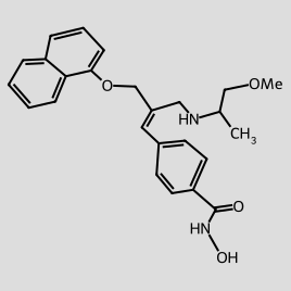 COCC(C)NCC(=Cc1ccc(C(=O)NO)cc1)COc1cccc2ccccc12